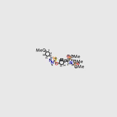 COc1ccc(/C=N/N(C)[PH](=S)Oc2ccc(CCN(CP(=O)(OC)OC)CP(=O)(OC)OC)cc2)cc1